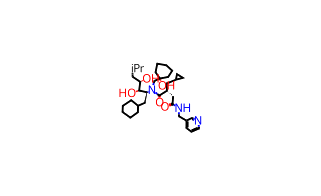 CC(C)C[C@H](O)[C@H](O)[C@H](CC1CCCCC1)N(CC1(O)CCCCC1)C(=O)[C@@H](CC(=O)NCc1cccnc1)CC1CC1